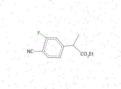 CCOC(=O)C(C)c1ccc(C#N)c(F)c1